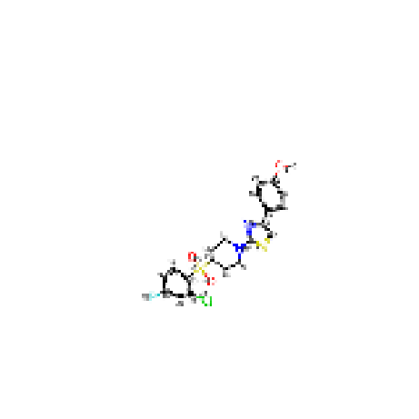 COc1ccc(-c2csc(N3CCC(S(=O)(=O)c4ccc(F)cc4Cl)CC3)n2)cc1